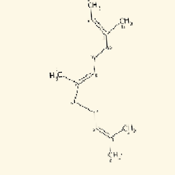 [CH2]C(C)=CCCC(C)=CCCC(C)=CC